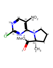 COC(=O)[C@]1(C)CCCN1c1nc(Cl)ncc1[N+](=O)[O-]